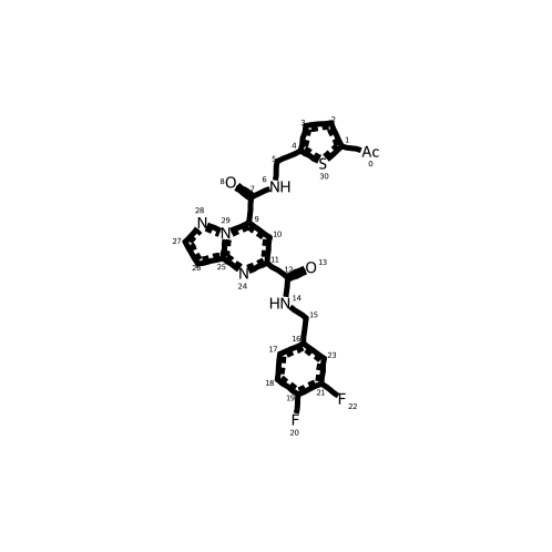 CC(=O)c1ccc(CNC(=O)c2cc(C(=O)NCc3ccc(F)c(F)c3)nc3ccnn23)s1